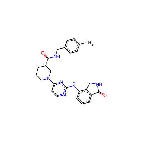 Cc1ccc(CNC(=O)[C@H]2CCCN(c3ccnc(Nc4cccc5c4CNC5=O)n3)C2)cc1